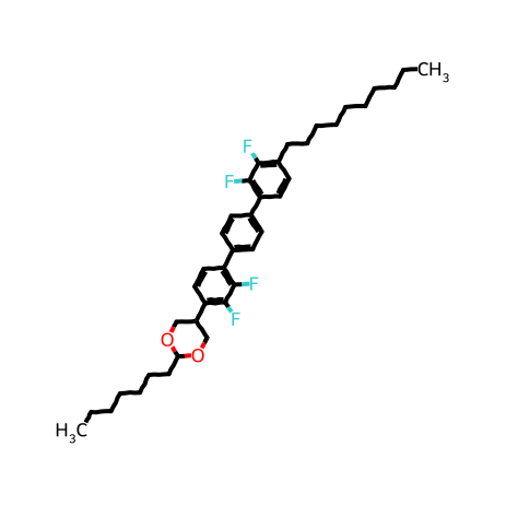 CCCCCCCCCCc1ccc(-c2ccc(-c3ccc(C4COC(CCCCCCC)OC4)c(F)c3F)cc2)c(F)c1F